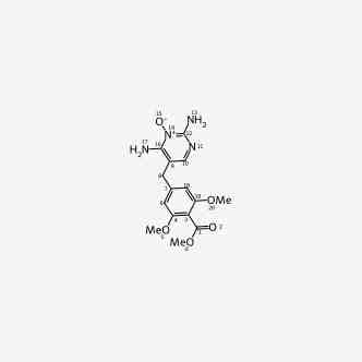 COC(=O)c1c(OC)cc(Cc2cnc(N)[n+]([O-])c2N)cc1OC